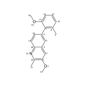 COc1cc2cc(-c3c(C)cccc3OC)ccc2nc1C